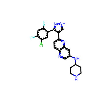 Fc1cc(F)c(-c2n[nH]cc2-c2ccc3ncc(NC4CCNCC4)cc3n2)cc1Cl